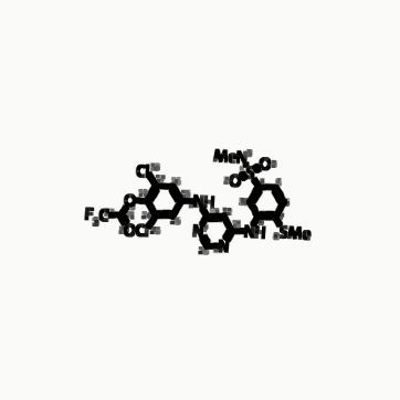 CNS(=O)(=O)c1ccc(SC)c(Nc2cc(Nc3cc(Cl)c(OC(=O)C(F)(F)F)c(Cl)c3)ncn2)c1